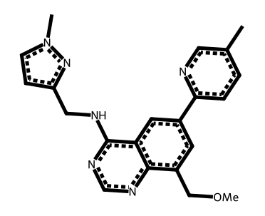 COCc1cc(-c2ccc(C)cn2)cc2c(NCc3ccn(C)n3)ncnc12